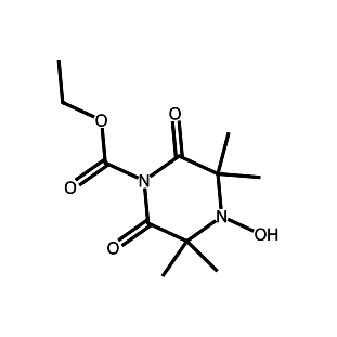 CCOC(=O)N1C(=O)C(C)(C)N(O)C(C)(C)C1=O